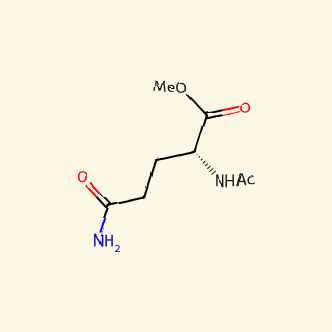 COC(=O)[C@@H](CCC(N)=O)NC(C)=O